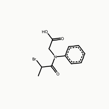 CC(Br)C(=O)N(CC(=O)O)c1ccccc1